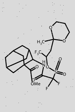 COC(=O)C12CC3CC(CC(C3)C1NC(=O)C(F)(F)S(=O)(=O)OC(CC1(C)OCCCO1)C(F)(F)F)C2